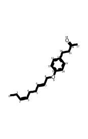 CC/C=C\CC/C=C/COc1ccc(CCC(C)=O)cc1